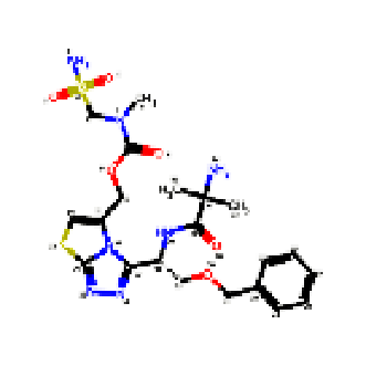 CN(CS(N)(=O)=O)C(=O)OCc1csc2nnc([C@@H](COCc3ccccc3)NC(=O)C(C)(C)N)n12